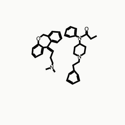 CCC(=O)N(c1ccccc1)C1CCN(CCc2ccccc2)CC1.CN(C)CCC=C1c2ccccc2COc2ccccc21